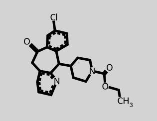 CCOC(=O)N1CCC(C2c3ccc(Cl)cc3C(=O)Cc3cccnc32)CC1